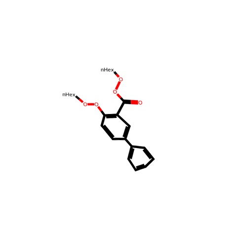 CCCCCCOOC(=O)c1cc(-c2ccccc2)ccc1OOCCCCCC